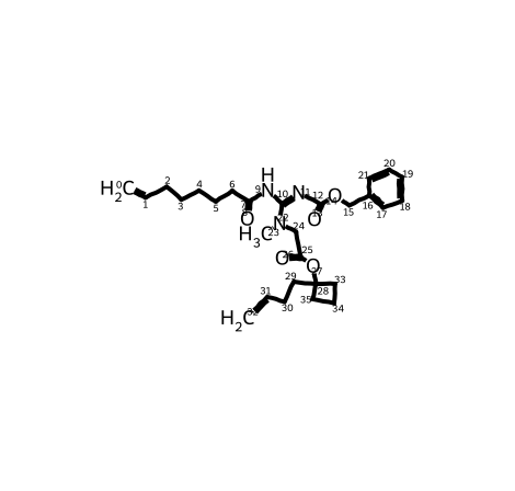 C=CCCCCCC(=O)N/C(=N/C(=O)OCc1ccccc1)N(C)CC(=O)OC1(CCC=C)CCC1